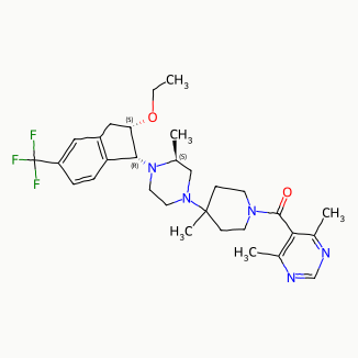 CCO[C@H]1Cc2cc(C(F)(F)F)ccc2[C@H]1N1CCN(C2(C)CCN(C(=O)c3c(C)ncnc3C)CC2)C[C@@H]1C